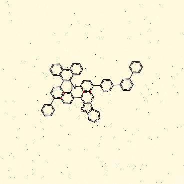 c1ccc(-c2ccc(-c3c(N(c4ccc(-c5ccc(-c6cccc(-c7ccccc7)c6)cc5)cc4)c4ccccc4-c4cccc5c4sc4ccccc45)c4ccccc4c4ccccc34)cc2)cc1